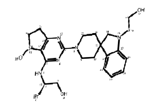 CC(C)[C@H](CO)Nc1nc(N2CCC3(CC2)CN(SCO)c2ccccc23)nc2c1[S+]([O-])CC2